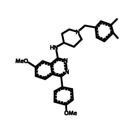 COc1ccc(-c2nnc(NC3CCN(Cc4ccc(C)c(C)c4)CC3)c3cc(OC)ccc23)cc1